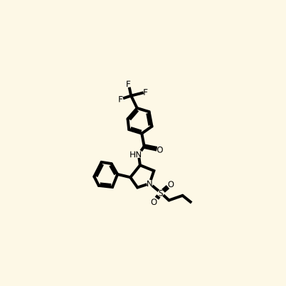 CCCS(=O)(=O)N1CC(NC(=O)c2ccc(C(F)(F)F)cc2)C(c2ccccc2)C1